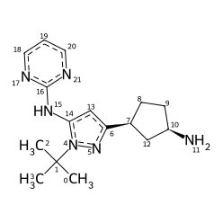 CC(C)(C)n1nc([C@H]2CC[C@@H](N)C2)cc1Nc1ncccn1